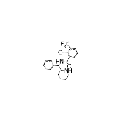 O=C(NC(c1ccccc1)C1CCCCN1)c1cccc(C(F)(F)F)c1Cl